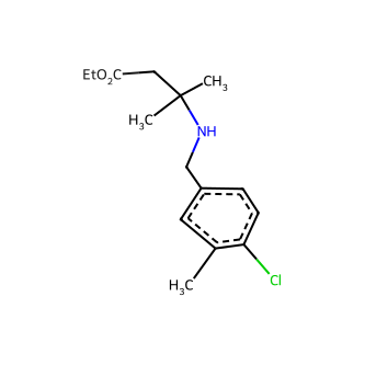 CCOC(=O)CC(C)(C)NCc1ccc(Cl)c(C)c1